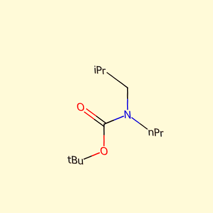 CCCN(CC(C)C)C(=O)OC(C)(C)C